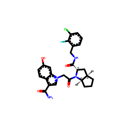 NC(=O)c1cn(CC(=O)N2[C@@H]3CCC[C@@H]3C[C@H]2C(=O)NCc2cccc(Cl)c2F)c2cc(O)ccc12